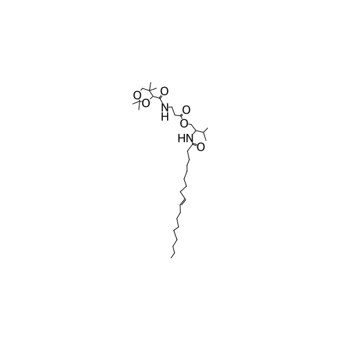 CCCCCCCCC=CCCCCCCCC(=O)NC(COC(=O)CCNC(=O)C1OC(C)(C)OCC1(C)C)C(C)C